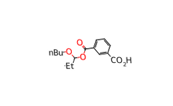 C[CH]C(OCCCC)OC(=O)c1cccc(C(=O)O)c1